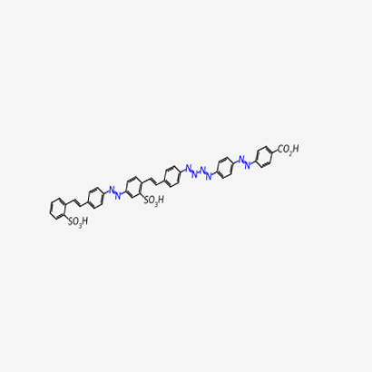 O=C(O)c1ccc(N=Nc2ccc(N=NN=Nc3ccc(C=Cc4ccc(N=Nc5ccc(C=Cc6ccccc6S(=O)(=O)O)cc5)cc4S(=O)(=O)O)cc3)cc2)cc1